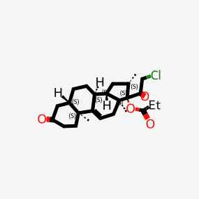 CCC(=O)O[C@@]1(C(=O)CCl)[C@@H](C)C[C@H]2[C@@H]3CC[C@H]4CC(=O)CC[C@]4(C)C3=CC[C@@]21C